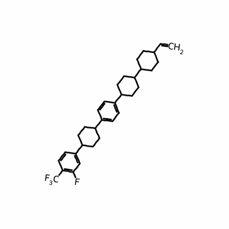 C=CC1CCC(C2CCC(c3ccc(C4CCC(c5ccc(C(F)(F)F)c(F)c5)CC4)cc3)CC2)CC1